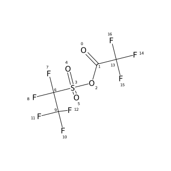 O=C(OS(=O)(=O)C(F)(F)C(F)(F)F)C(F)(F)F